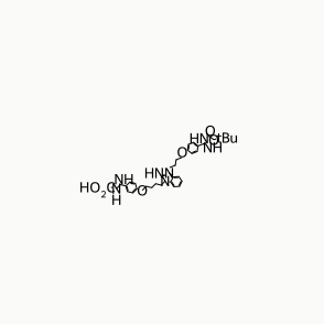 CC(C)(C)OC(=O)NC(=N)c1ccc(OCCCCn2c(=N)n(CCCCOc3ccc(C(=N)NC(=O)O)cc3)c3ccccc32)cc1